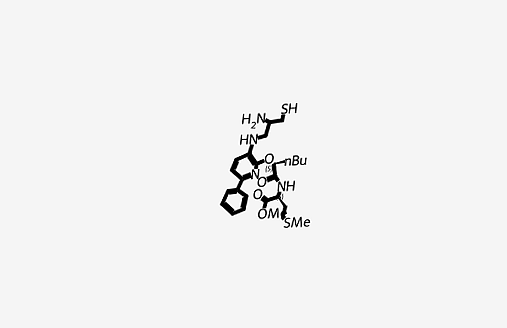 CCCC[C@H](Oc1nc(-c2ccccc2)ccc1NCC(N)CS)C(=O)N[C@@H](CCSC)C(=O)OC